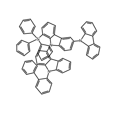 c1ccc(-c2ccccc2-n2c3ccccc3c3c(-n4c5ccc(-n6c7ccccc7c7ccccc76)cc5c5cccc([Si](c6ccccc6)(c6ccccc6)c6ccccc6)c54)cccc32)cc1